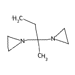 [CH2]CC(C)(N1CC1)N1CC1